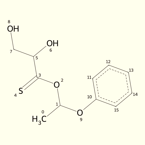 CC(OC(=S)C(O)CO)Oc1ccccc1